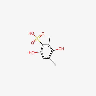 Cc1cc(O)c(S(=O)(=O)O)c(C)c1O